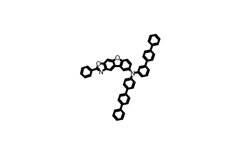 c1ccc(-c2ccc(-c3ccc(N(c4cccc(-c5ccc(-c6ccccc6)cc5)c4)c4ccc5oc6cc7oc(-c8ccccc8)nc7cc6c5c4)cc3)cc2)cc1